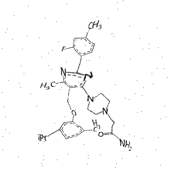 Cc1ccc(-c2nc(C)c(COc3cc(C(C)C)ccc3C)c(N3CCN(CC(N)=O)CC3)n2)c(F)c1